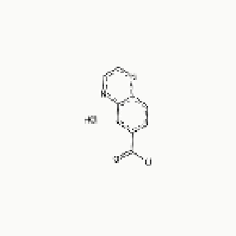 Cl.O=C(Cl)c1ccc2nccnc2c1